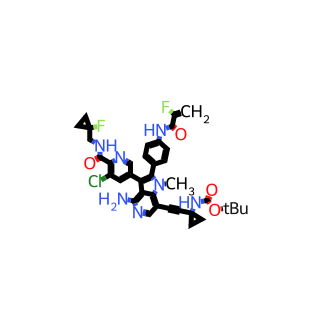 C=C(F)C(=O)Nc1ccc(-c2c(-c3cnc(C(=O)NCC4(F)CC4)c(Cl)c3)c3c(N)ncc(C#CC4(NC(=O)OC(C)(C)C)CC4)c3n2C)cc1